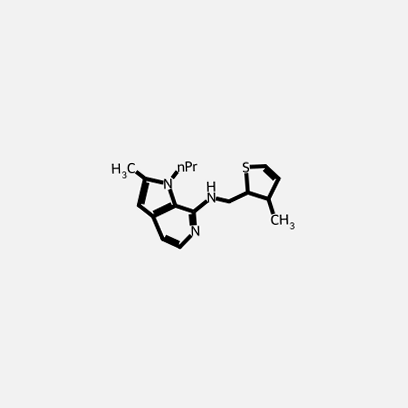 CCCn1c(C)cc2ccnc(NCC3SC=CC3C)c21